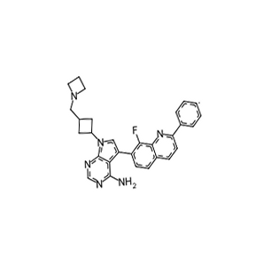 Nc1ncnc2c1c(-c1ccc3ccc(-c4cc[c]cc4)nc3c1F)cn2C1CC(CN2CCC2)C1